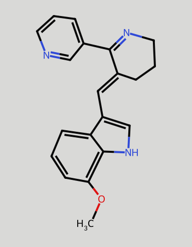 COc1cccc2c(C=C3CCCN=C3c3cccnc3)c[nH]c12